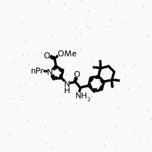 CCCn1cc(NC(=O)C(N)c2ccc3c(c2)C(C)(C)CCC3(C)C)cc1C(=O)OC